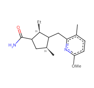 CC[C@@H]1C(C(N)=O)C[C@H](C)C1Cc1nc(OC)ccc1C